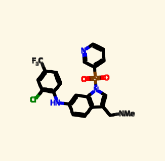 CNCc1cn(S(=O)(=O)c2cccnc2)c2cc(Nc3ccc(C(F)(F)F)cc3Cl)ccc12